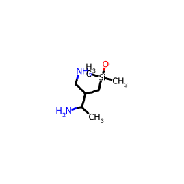 CC(N)C(CN)C[Si](C)(C)[O]